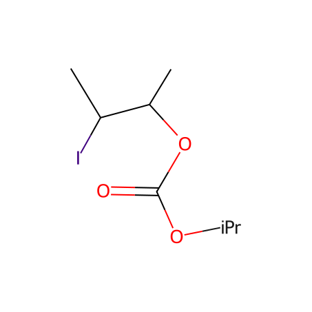 CC(C)OC(=O)OC(C)C(C)I